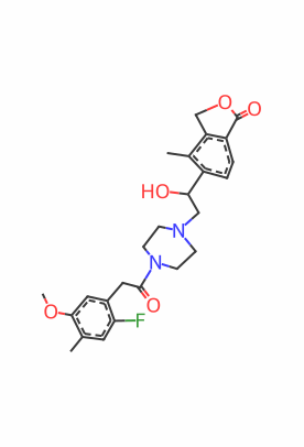 COc1cc(CC(=O)N2CCN(CC(O)c3ccc4c(c3C)COC4=O)CC2)c(F)cc1C